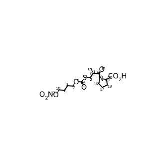 C[C@H](CSC(=O)OCCCCO[N+](=O)[O-])C(=O)N1CCC[C@H]1C(=O)O